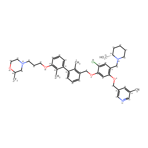 Cc1c(COc2cc(OCc3cncc(C#N)c3)c(CN3CCCC[C@H]3C(=O)O)cc2Cl)cccc1-c1cccc(OCCCN2CCOC(C(F)(F)F)C2)c1C